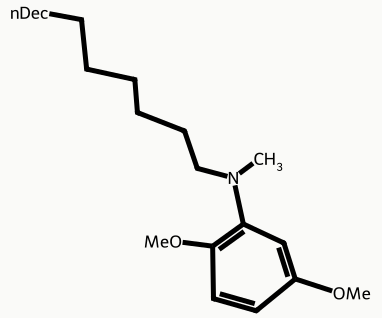 CCCCCCCCCCCCCCCCN(C)c1cc(OC)ccc1OC